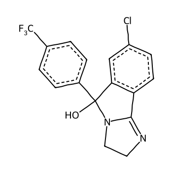 OC1(c2ccc(C(F)(F)F)cc2)c2cc(Cl)ccc2C2=NCCN21